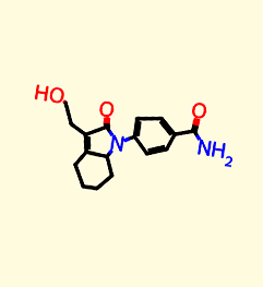 NC(=O)c1ccc(N2C(=O)C(CCO)=C3CCCCC32)cc1